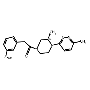 CSc1cccc(CC(=O)N2CCN(c3ccc(C)nn3)[C@H](C)C2)c1